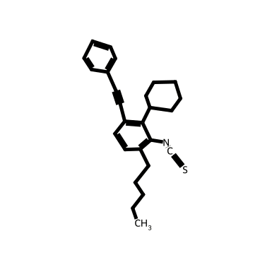 CCCCCc1ccc(C#Cc2ccccc2)c(C2CCCCC2)c1N=C=S